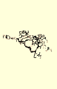 CCCCCCCCCCC(CN(CCCC(C)C(O)C(=O)OCC)CC(CCCCCCCCCC)O[Si](C)(C)C(C)(C)C)O[Si](C)(C)C(C)(C)C